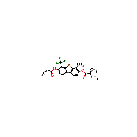 C=C(C)C(=O)Oc1ccc2c(sc3c(C(F)(F)F)c(OC(=O)CC)ccc32)c1C